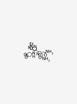 CCn1ncc2c(NC3CCS(=O)(=O)CC3)c(C3=NOC(CC(N)=O)(CC(N)=O)C3)cnc21